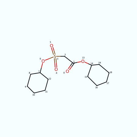 O=C(CS(=O)(=O)OC1CCCCC1)OC1CCCCC1